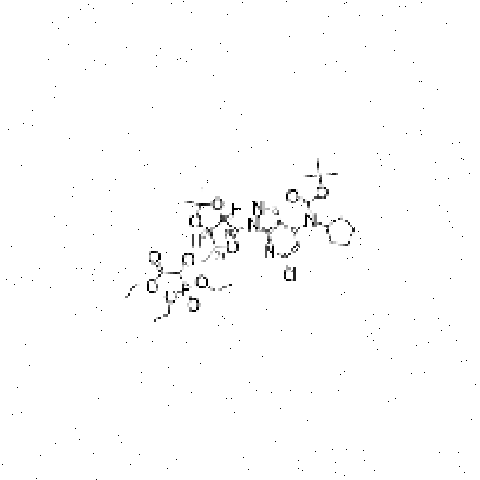 CCOC(=O)C(OC[C@H]1O[C@@H](n2ncc3c(N(C(=O)OC(C)(C)C)C4CCCC4)cc(Cl)nc32)[C@@H]2OC(C)(C)O[C@@H]21)P(=O)(OCC)OCC